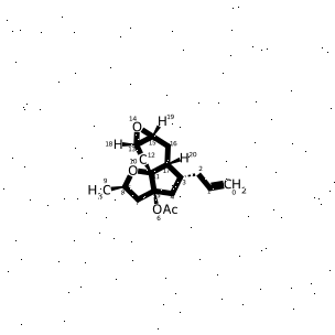 C=CC[C@@H]1C[C@]2(OC(C)=O)C[C@@H](C)O[C@@]23C[C@@H]2O[C@@H]2C[C@H]13